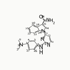 CN(C)c1ccc(Nc2nccc(-n3cc(C(N)=O)c4ccccc43)n2)cc1